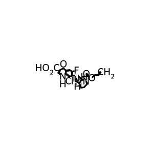 C=CCOC(=O)N1CCC[C@H]2CN(c3c(F)cc4c(=O)c(C(=O)O)c[nH]c4c3Cl)C[C@H]21